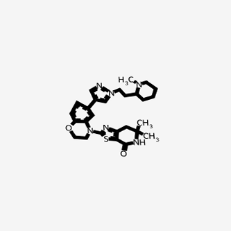 CN1CCCCC1CCn1cc(-c2ccc3c(c2)N(c2nc4c(s2)C(=O)NC(C)(C)C4)CCO3)cn1